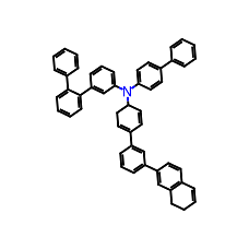 C1=Cc2ccc(-c3cccc(C4=CCC(N(c5ccc(-c6ccccc6)cc5)c5cccc(-c6ccccc6-c6ccccc6)c5)C=C4)c3)cc2CC1